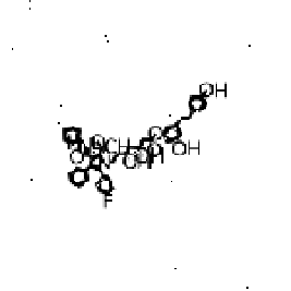 CC(C)c1c(C(=O)Nc2ccccc2)c(-c2ccccc2)c(-c2ccc(F)cc2)n1CC[C@@H](O)C[C@@H](O)CC(=O)Oc1cc(O)cc(/C=C/c2ccc(O)cc2)c1